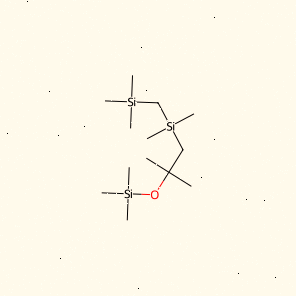 CC(C)(C[Si](C)(C)C[Si](C)(C)C)O[Si](C)(C)C